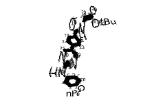 CCCOc1ccc(Nc2ncc(-c3ccc(C(=O)NCC(=O)OC(C)(C)C)cc3)cn2)cc1